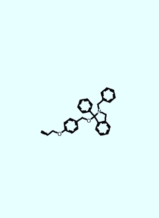 C=CCOc1ccc(COC2(c3ccccc3)c3ccccc3CN2Cc2ccccc2)cc1